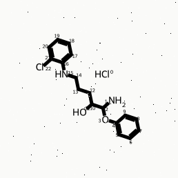 Cl.NC(Oc1ccccc1)C(O)CCCNc1ccccc1Cl